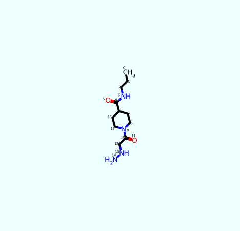 CCCNC(=O)C1CCN(C(=O)CNN)CC1